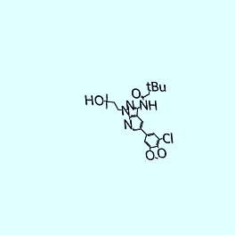 CC(C)(C)CC(=O)Nc1nn(CCC(C)(C)O)c2ncc(-c3cc(Cl)c4c(c3)OCO4)cc12